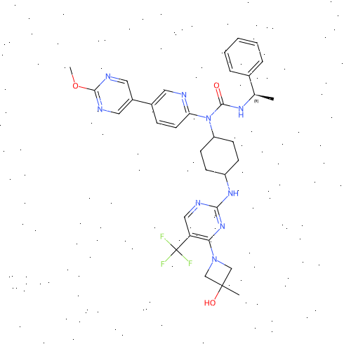 COc1ncc(-c2ccc(N(C(=O)N[C@H](C)c3ccccc3)C3CCC(Nc4ncc(C(F)(F)F)c(N5CC(C)(O)C5)n4)CC3)nc2)cn1